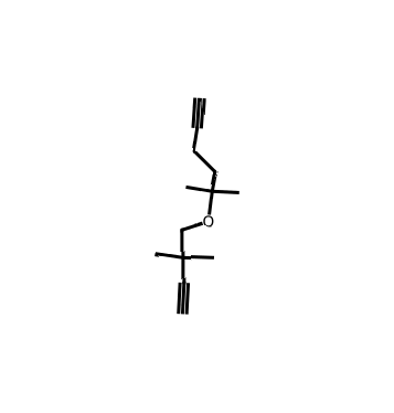 C#CCCC(C)(C)OCC(C)(C)C#C